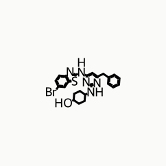 OC1CCC(Nc2nc(Cc3ccccc3)cc(Nc3nc4ccc(Br)cc4s3)n2)CC1